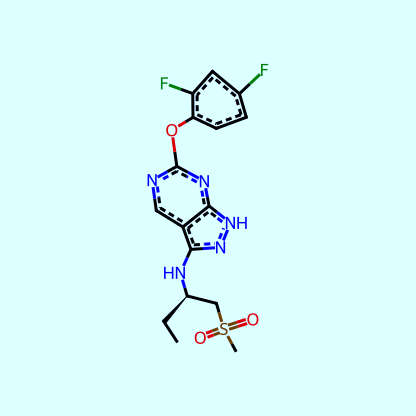 CC[C@H](CS(C)(=O)=O)Nc1n[nH]c2nc(Oc3ccc(F)cc3F)ncc12